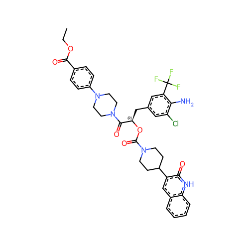 CCOC(=O)c1ccc(N2CCN(C(=O)[C@@H](Cc3cc(Cl)c(N)c(C(F)(F)F)c3)OC(=O)N3CCC(c4cc5ccccc5[nH]c4=O)CC3)CC2)cc1